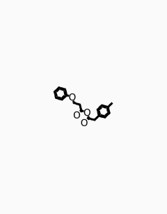 Cc1ccc(CC(=O)OC(=O)CCOc2ccccc2)cc1